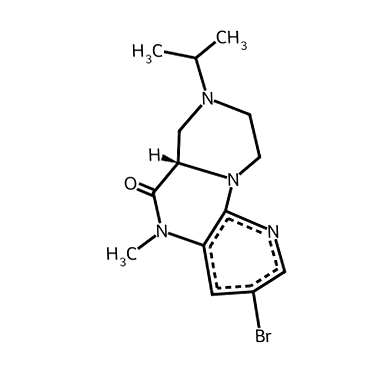 CC(C)N1CCN2c3ncc(Br)cc3N(C)C(=O)[C@@H]2C1